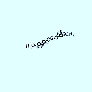 CCOc1ccc(C2=CCC(COC3CCC(c4ccc(-c5ccc(OCC)c(F)c5F)c(F)c4F)CC3)CC2)c(F)c1F